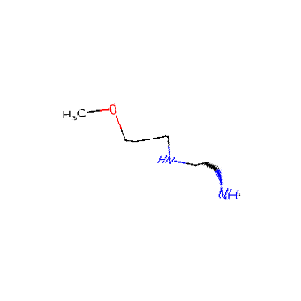 COCCNC[NH]